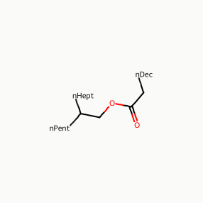 CCCCCCCCCCCC(=O)OCC(CCCCC)CCCCCCC